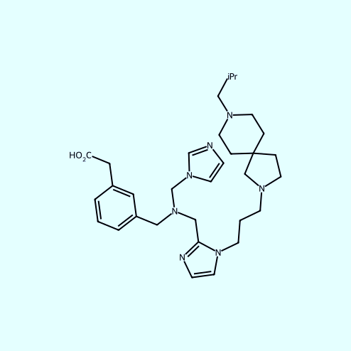 CC(C)CN1CCC2(CC1)CCN(CCCn1ccnc1CN(Cc1cccc(CC(=O)O)c1)Cn1ccnc1)C2